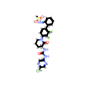 CS(=O)(=O)Nc1ccccc1-c1ccc(N2CCC[C@@H](NC(=O)Nc3cnc(Cl)cn3)C2=O)c(F)c1F